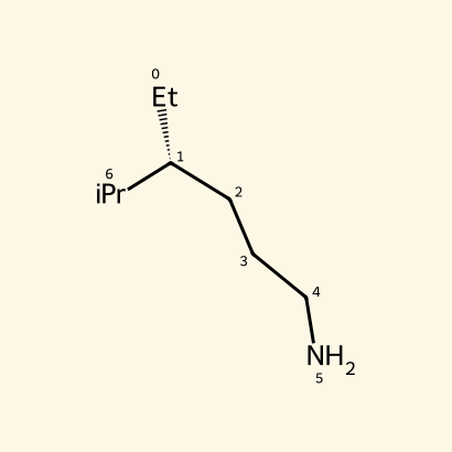 CC[C@H](CCCN)C(C)C